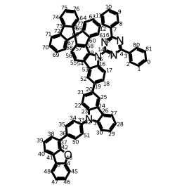 c1ccc(-c2nc(-c3ccccc3)nc(-n3c4ccc(-c5ccc6c(c5)c5ccccc5n6-c5ccc(-c6cccc7c6oc6ccccc67)cc5)cc4c4ccc5c(c43)-c3ccccc3C53c4ccccc4-c4ccccc43)n2)cc1